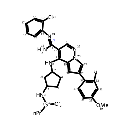 CCC[S+]([O-])NC1CCC(Nc2c(/C(N)=N/c3ccccc3Cl)cnn3cc(-c4ccc(OC)cc4C)cc23)C1